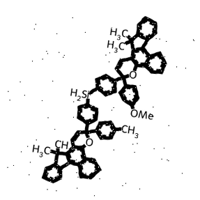 COc1ccc(C2(c3ccc([SiH2]c4ccc(C5(c6ccc(C)cc6)C=Cc6c7c(c8ccccc8c6O5)-c5ccccc5C7(C)C)cc4)cc3)C=Cc3c4c(c5ccccc5c3O2)-c2ccccc2C4(C)C)cc1